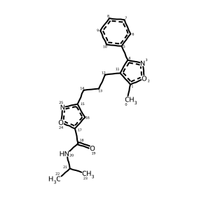 Cc1onc(-c2ccccc2)c1CCCc1cc(C(=O)NC(C)C)on1